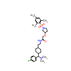 Cc1cc(C)c(S(=O)(=O)N2CCC(OCC(=O)NCCC3CCC(C(c4ccc(F)cc4)N(C)C)CC3)C2)c(C)c1